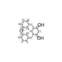 Oc1cccc(O)c1.c1ccc(Oc2ccccc2)cc1